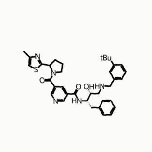 Cc1csc(C2CCCN2C(=O)c2cncc(C(=O)N[C@@H](Cc3ccccc3)[C@H](O)CNCc3cccc(C(C)(C)C)c3)c2)n1